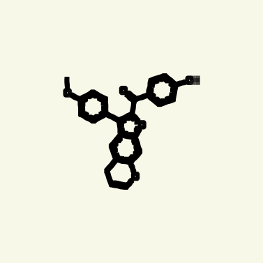 COc1ccc(-c2c(C(=O)c3ccc(O)cc3)oc3cc4c(cc23)CC=CO4)cc1